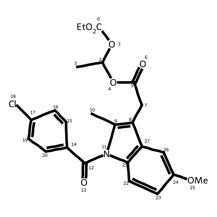 CCOC(=O)OC(C)OC(=O)Cc1c(C)n(C(=O)c2ccc(Cl)cc2)c2ccc(OC)cc12